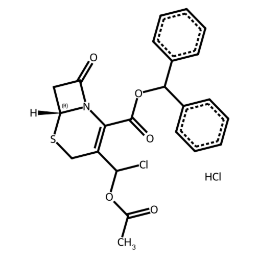 CC(=O)OC(Cl)C1=C(C(=O)OC(c2ccccc2)c2ccccc2)N2C(=O)C[C@H]2SC1.Cl